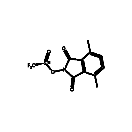 CC1=C=C=C(C)C2=C1C(=O)N(O[S@](=O)C(F)(F)F)C2=O